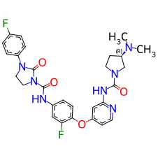 CN(C)[C@@H]1CCN(C(=O)Nc2cc(Oc3ccc(NC(=O)N4CCN(c5ccc(F)cc5)C4=O)cc3F)ccn2)C1